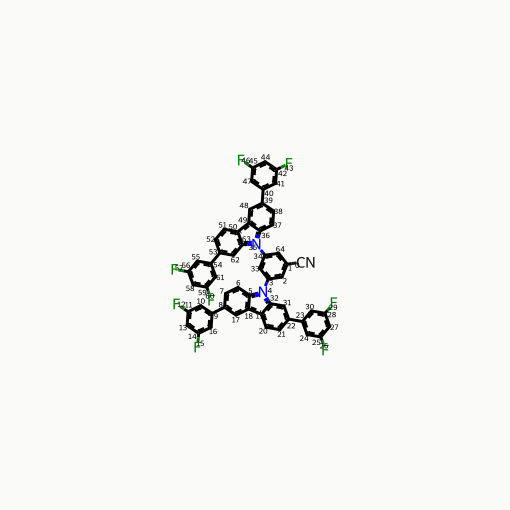 N#Cc1cc(-n2c3ccc(-c4cc(F)cc(F)c4)cc3c3ccc(-c4cc(F)cc(F)c4)cc32)cc(-n2c3ccc(-c4cc(F)cc(F)c4)cc3c3ccc(-c4cc(F)cc(F)c4)cc32)c1